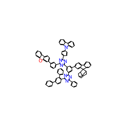 c1ccc(-c2ccc(-c3nc(-c4ccccc4)nc(-c4cc(-c5ccc6c(c5)C5(c7ccccc7-6)C6CC7CC(C6)CC5C7)cc(-c5nc(-c6ccc(-n7c8ccccc8c8ccccc87)cc6)nc(-c6cccc(-c7ccc8c(c7)oc7ccccc78)c6)n5)c4)n3)c(-c3ccccc3)c2)cc1